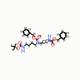 CC(C)(C)OC(=O)NCCCCN(CCCNC(=O)OCc1ccccc1)C(=O)OCc1ccccc1